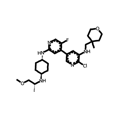 COC[C@@H](C)N[C@H]1CC[C@H](Nc2cc(-c3cnc(Cl)c(NCC4(C)CCOCC4)c3)c(F)cn2)CC1